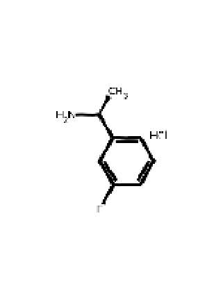 C[C@H](N)c1cccc(F)c1.Cl